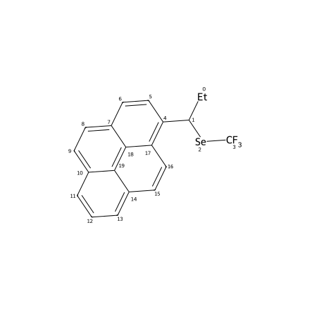 CCC([Se]C(F)(F)F)c1ccc2ccc3cccc4ccc1c2c34